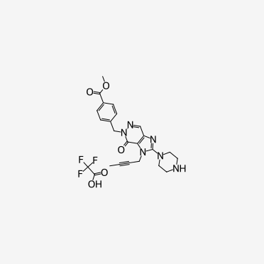 CC#CCn1c(N2CCNCC2)nc2cnn(Cc3ccc(C(=O)OC)cc3)c(=O)c21.O=C(O)C(F)(F)F